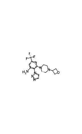 Nc1cc(C(F)(F)F)nc(N2CCN(C3COC3)CC2)c1-n1ccnn1